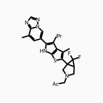 CC(=O)CN1CC2C(F)(F)C2(c2sc3[nH]c(-c4cc(C)c5ncnn5c4)c(C(C)C)c3c2C)C1